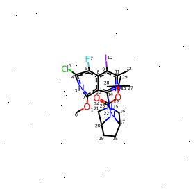 COc1nc(Cl)c(F)c2c(I)c(C)nc(N3CC4CCC(C3)N4C(=O)OC(C)(C)C)c12